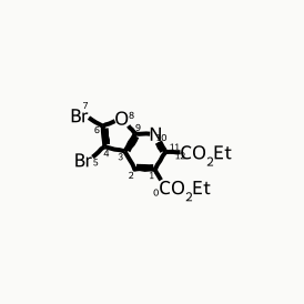 CCOC(=O)c1cc2c(Br)c(Br)oc2nc1C(=O)OCC